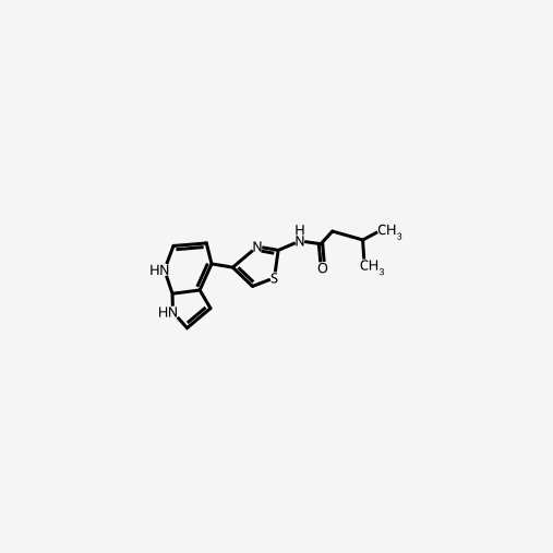 CC(C)CC(=O)Nc1nc(C2=C3C=CNC3NC=C2)cs1